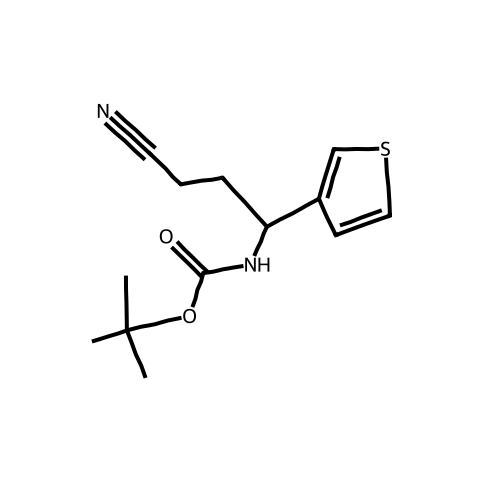 CC(C)(C)OC(=O)NC(CCC#N)c1ccsc1